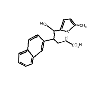 Cc1ccc(C(O)C(CNC(=O)O)c2ccc3ccccc3c2)s1